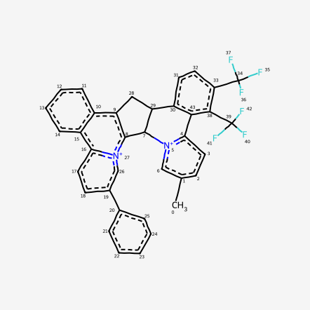 Cc1ccc2[n+](c1)C1c3c(c4ccccc4c4ccc(-c5ccccc5)c[n+]34)CC1c1ccc(C(F)(F)F)c(C(F)(F)F)c1-2